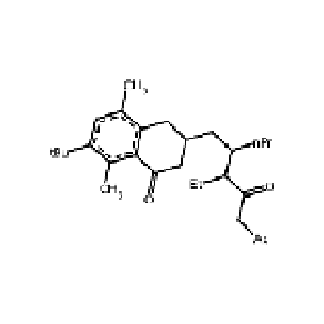 CCCC(CC1CC(=O)c2c(C)c(C(C)(C)C)cc(C)c2C1)C(CC)C(=O)CC(C)=O